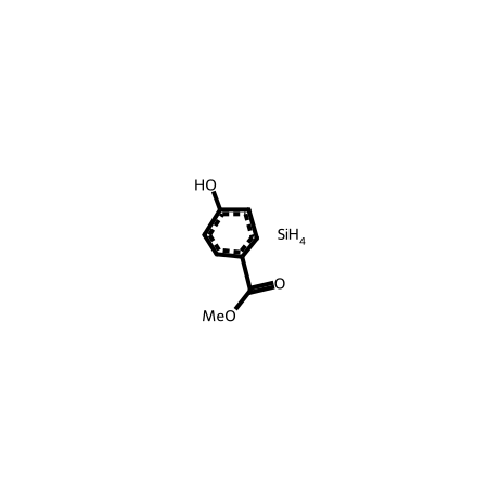 COC(=O)c1ccc(O)cc1.[SiH4]